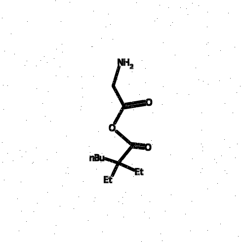 CCCCC(CC)(CC)C(=O)OC(=O)CN